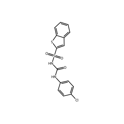 O=C(Nc1ccc(Cl)cc1)NS(=O)(=O)c1cc2ccccc2s1